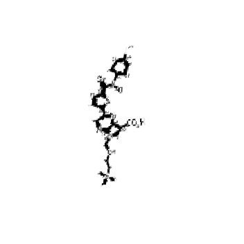 C[Si](C)(C)CCOCn1cc(C(=O)O)c2nc(-c3ccc(C(=O)N(Cl)c4ccc(I)cc4)s3)cnc21